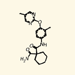 Cc1cnc(Oc2ccc(NC(=O)C3(C(N)=O)CCCCC3)cc2C)nc1